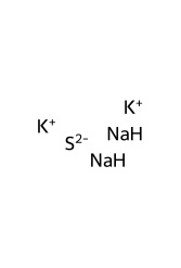 [K+].[K+].[NaH].[NaH].[S-2]